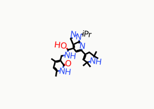 Cc1cc(C)c(CNC(O)c2cc(C3=CC(C)(C)NC(C)(C)C3)nc3c2cnn3C(C)C)c(=O)[nH]1